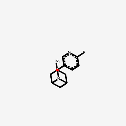 CC(C)N1CC2CC(C1)N2Cc1ccc(F)nc1